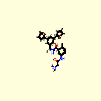 Cc1ccc(NC(=O)CN(C)C)cc1C(=O)N[C@H](C)c1cc(-c2cccs2)cc(-c2cccs2)c1